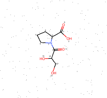 O=C(O)C1CCCN1C(=O)C(O)CO